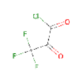 O=C(Cl)C(=O)C(F)(F)F